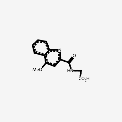 COc1cc(C(=O)NCC(=O)O)nc2ccccc12